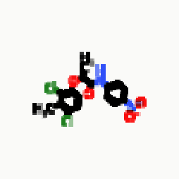 Cc1c(Cl)ccc(OC(C)C(=O)Nc2ccc([N+](=O)[O-])cc2)c1Cl